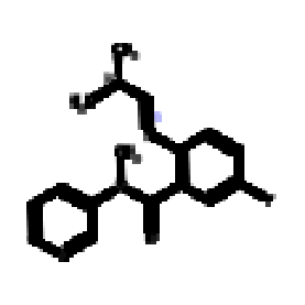 C[C@H](N)/C=N/c1ccc(F)cc1C(=O)N(C)c1cccnc1